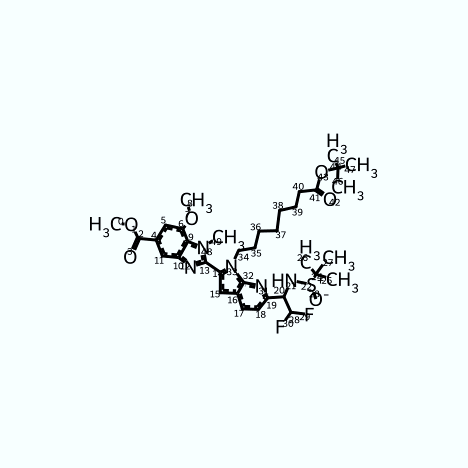 COC(=O)c1cc(OC)c2c(c1)nc(-c1cc3ccc(C(N[S+]([O-])C(C)(C)C)C(F)F)nc3n1CCCCCCCC(=O)OC(C)(C)C)n2C